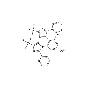 CP(C)c1cccc(-n2nc(C(F)(F)F)nc2-c2ccccn2)c1-n1nc(C(F)(F)F)nc1-c1ccccn1.[Os+2]